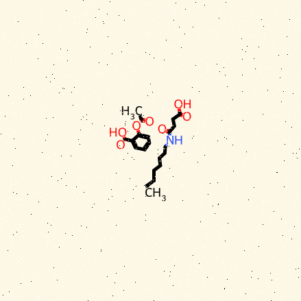 CC(=O)Oc1ccccc1C(=O)O.CCCCCCCCNC(=O)CCC(=O)O